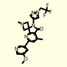 COc1cncc(-c2cc(C)c3c(n2)C2(CN(C)C2)N(c2cnn(CC(F)(F)F)c2)C3=O)c1